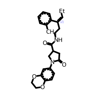 CC/C=C(/CCNC(=O)C1CC(=O)N(c2ccc3c(c2)OCCO3)C1)c1ccccc1C